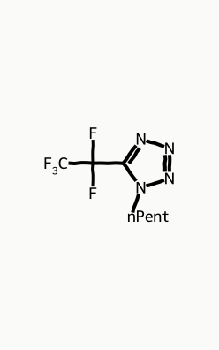 CCCCCn1nnnc1C(F)(F)C(F)(F)F